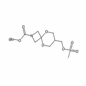 CC(C)(C)OC(=O)N1CC2(C1)OCC(COS(C)(=O)=O)CO2